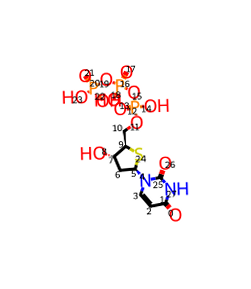 O=c1ccn([C@H]2C[C@H](O)[C@@H](COP(=O)(O)OP(=O)(O)OP(=O)(O)O)S2)c(=O)[nH]1